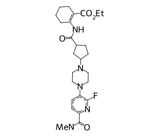 CCOC(=O)C1=C(NC(=O)C2CCC(N3CCN(c4ccc(C(=O)NC)nc4F)CC3)C2)CCCC1